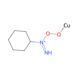 N=[N+](O[O][Cu])C1CCCCC1